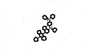 c1ccc(-c2c3ccccc3c(-c3ccc(N(c4ccccc4)c4ccc(N(c5ccccc5)c5ccccc5)cc4)c4ccccc34)c3ccccc23)cc1